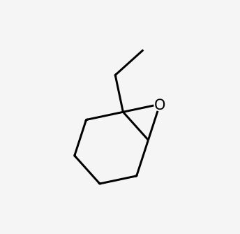 CCC12CCCCC1O2